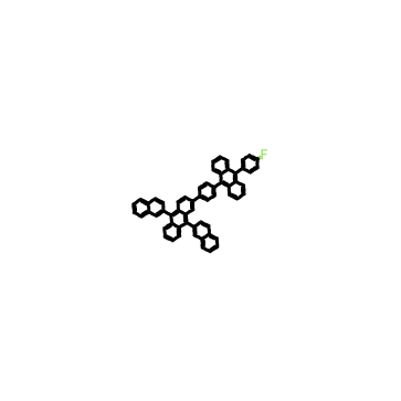 Fc1ccc(-c2c3ccccc3c(-c3ccc(-c4ccc5c(-c6ccc7ccccc7c6)c6ccccc6c(-c6ccc7ccccc7c6)c5c4)cc3)c3ccccc23)cc1